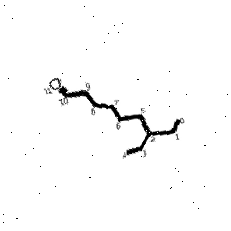 CCC(CC)CCCCCC=O